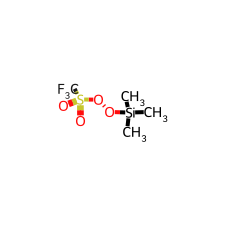 C[Si](C)(C)OOS(=O)(=O)C(F)(F)F